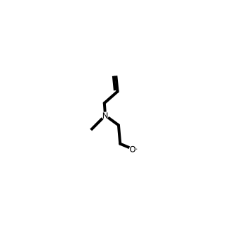 C=CCN(C)CC[O]